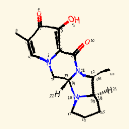 Cc1cn2c(c(O)c1=O)C(=O)N1[C@@H](C)[C@H]3CCCN3[C@@H]1C2